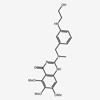 COc1cc2[nH]c(N(C)Cc3cccc(NCCO)c3)nc(=O)c2c(OC)c1OC